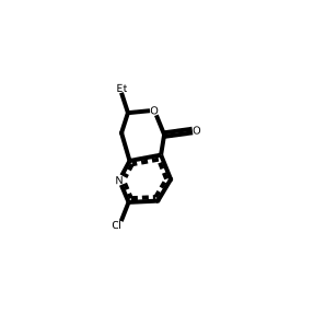 CCC1Cc2nc(Cl)ccc2C(=O)O1